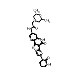 C[C@H]1CN(CC(=O)Nc2cnc3c(c2)[nH]c(=O)c2c3nn3cc(-c4ccc[nH]c4=O)sc23)C[C@H](C)O1